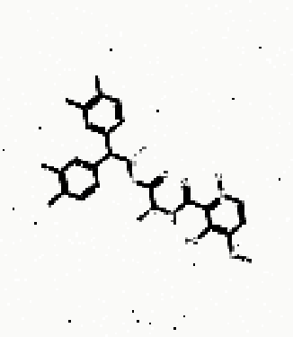 COc1cc[n+]([O-])c(C(=O)N[C@@H](C)C(=O)O[C@@H](C)C(c2ccc(C)c(C)c2)c2ccc(C)c(C)c2)c1O